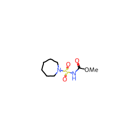 COC(=O)NS(=O)(=O)N1CCCCCC1